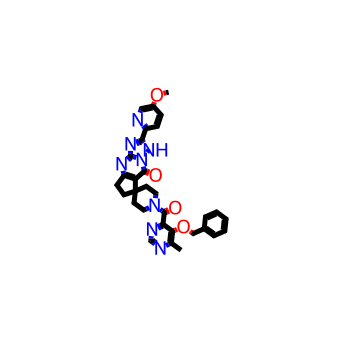 COc1ccc(-c2nc3nc4c(c(=O)n3[nH]2)C2(CC4)CCN(C(=O)c3ncnc(C)c3OCc3ccccc3)CC2)nc1